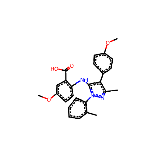 COc1ccc(-c2c(C)nn(-c3ccccc3C)c2Nc2ccc(OC)cc2C(=O)O)cc1